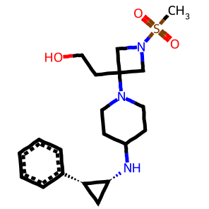 CS(=O)(=O)N1CC(CCO)(N2CCC(N[C@@H]3C[C@@H]3c3ccccc3)CC2)C1